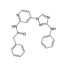 O=C(Cc1ccccc1)Nc1cc(-n2cnc(Nc3ccccc3)n2)ccn1